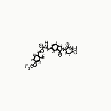 O=C1CCC(N2Cc3ccc(CNC(=O)OCc4ccc(OC(F)(F)F)cc4F)cc3C2=O)C(=O)N1